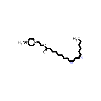 CCCCC/C=C\C/C=C\CCCCCCCC(=O)OCCN1CCN(N)CC1